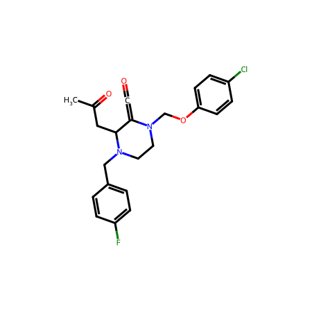 CC(=O)CC1C(=C=O)N(COc2ccc(Cl)cc2)CCN1Cc1ccc(F)cc1